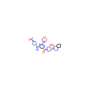 CC(=O)N1CCC(Nc2cc(C(=O)N3CCC(N4CCc5ccccc5C4)C(O)C3)nc(N3CCOCC3)n2)CC1